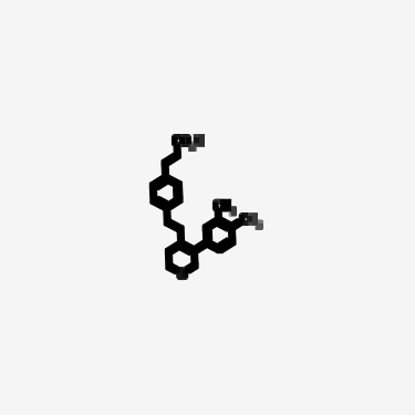 Cc1ccc(C2=C(CCc3ccc(CCC(=O)O)cc3)CCOC2)cc1C